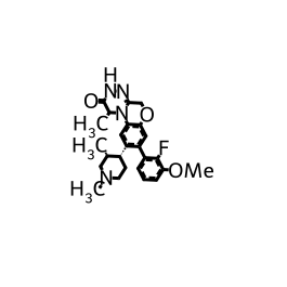 COc1cccc(-c2cc3c(cc2[C@@H]2CCN(C)C[C@@H]2C)N2C(=NNC(=O)C2C)CO3)c1F